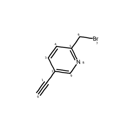 C#Cc1ccc(CBr)nc1